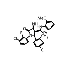 COc1ccccc1N/C(=C1\C(=N)C(=O)N(c2cccc(Cl)c2F)C1c1ccc(Cl)cc1C)C(C)C